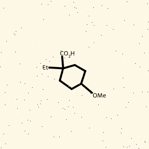 CCC1(C(=O)O)CCC(OC)CC1